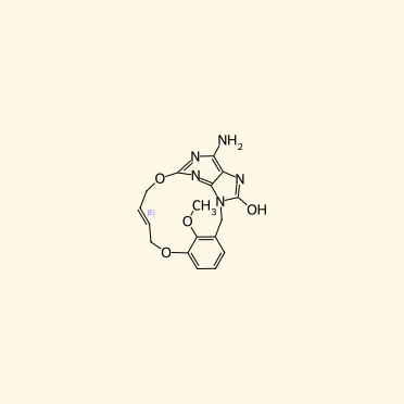 COc1c2cccc1OC/C=C/COc1nc(N)c3nc(O)n(c3n1)C2